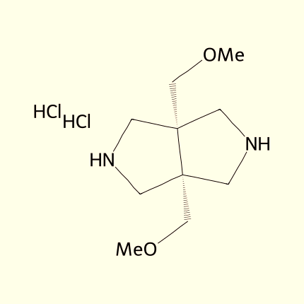 COC[C@]12CNC[C@@]1(COC)CNC2.Cl.Cl